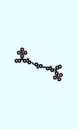 CC1(C)c2cc(/C=C/c3ccc4c(c3)C(C)(C)c3cc(N(c5ccc([Si](c6ccccc6)(c6ccccc6)c6ccccc6)cc5)c5ccc6ccccc6c5)ccc3-4)ccc2-c2ccc(/C=C/c3ccc4c(c3)C(C)(C)c3cc(N(c5ccc([Si](c6ccccc6)(c6ccccc6)c6ccccc6)cc5)c5ccc6ccccc6c5)ccc3-4)cc21